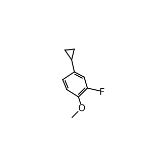 COc1ccc(C2CC2)cc1F